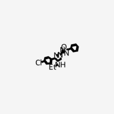 CCNC1CN(c2noc(-c3ccccc3)n2)N=C1c1ccc(Cl)cc1